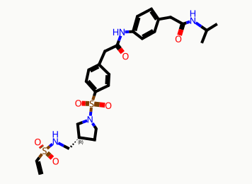 C=CS(=O)(=O)NC[C@H]1CCN(S(=O)(=O)c2ccc(CC(=O)Nc3ccc(CC(=O)NC(C)C)cc3)cc2)C1